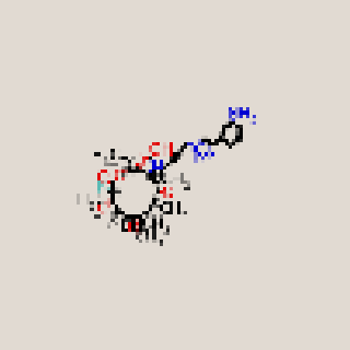 B[C@@H]1[C@@H](C)C(=O)[C@](C)(F)C(=O)O[C@H](CC)[C@@]2(C)OC(O)N(CC#CCn3cc(-c4cccc(N)c4)nn3)[C@@H]2[C@@H](C)C(=O)[C@H](C)C[C@@]1(C)OC